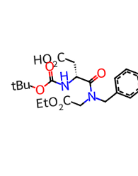 CCOC(=O)CN(Cc1ccccc1)C(=O)[C@@H](CC(=O)O)NC(=O)OC(C)(C)C